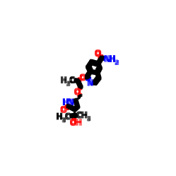 CC(COC[C@@H]1C[C@H](C(C)(C)O)C(=O)N1)Oc1nccc2cc(C(N)=O)ccc12